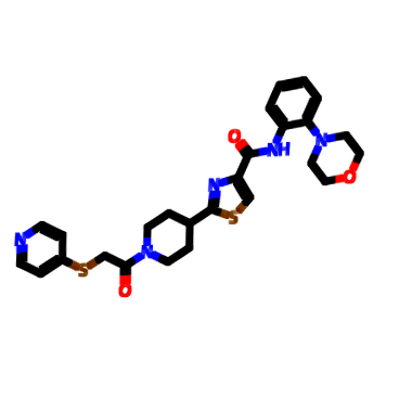 O=C(Nc1ccccc1N1CCOCC1)c1csc(C2CCN(C(=O)CSc3ccncc3)CC2)n1